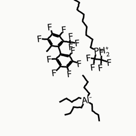 CCCCCCCCC[PH2+]C(F)(F)C(F)(F)F.CCC[CH2][Al-]([CH2]CCC)([CH2]CCC)[CH2]CCC.Cc1c(F)c(F)c(F)c(C(F)(F)F)c1-c1c(F)c(F)c(F)c(F)c1F